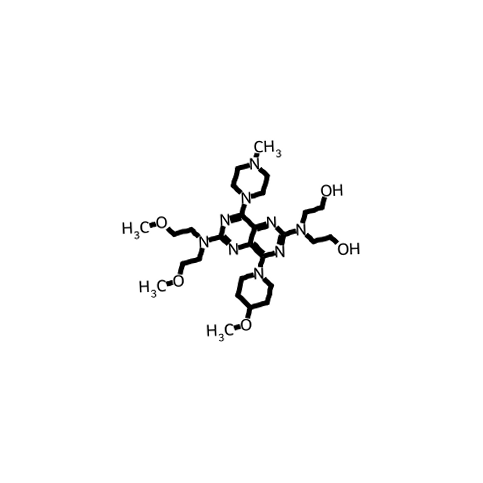 COCCN(CCOC)c1nc(N2CCN(C)CC2)c2nc(N(CCO)CCO)nc(N3CCC(OC)CC3)c2n1